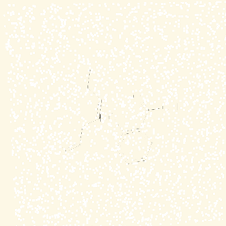 CC/C=C\CC=O.O=C(O)c1ccccc1O